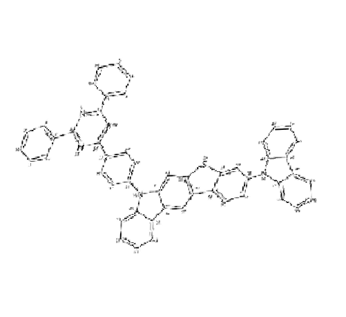 c1ccc(-c2nc(-c3ccccc3)nc(-c3ccc(-n4c5ccccc5c5cc6c(cc54)sc4cc(-n5c7ccccc7c7ccccc75)ccc46)cc3)n2)cc1